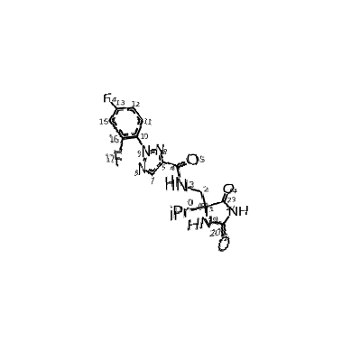 CC(C)[C@]1(CNC(=O)c2cnn(-c3ccc(F)cc3F)n2)NC(=O)NC1=O